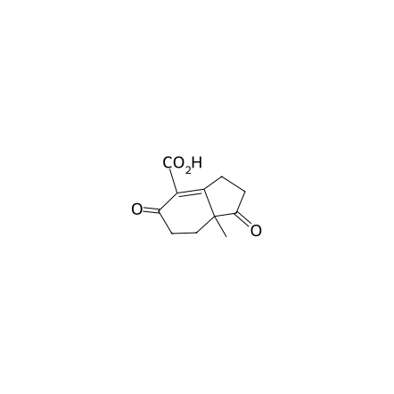 CC12CCC(=O)C(C(=O)O)=C1CCC2=O